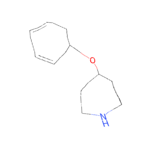 C1=CCC(OC2CCNCC2)C=C1